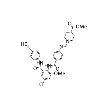 C#Cc1ccc(NC(=O)c2cc(Cl)cc(OC)c2NC(=O)c2ccc(/N=C/N3CCC(C(=O)OC)CC3)cc2)cc1